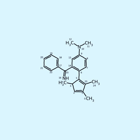 CC1=CC(C)C(c2ccc(N(C)C)cc2C(=N)c2ccccc2)=C1C